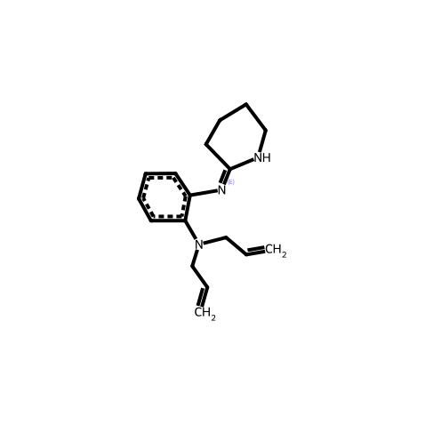 C=CCN(CC=C)c1ccccc1/N=C1\CCCCN1